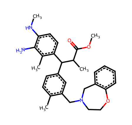 CNc1ccc(C(c2ccc(C)c(CN3CCOc4ccccc4C3)c2)C(C)C(=O)OC)c(C)c1N